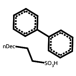 CCCCCCCCCCCCS(=O)(=O)O.c1ccc(-c2ccccc2)cc1